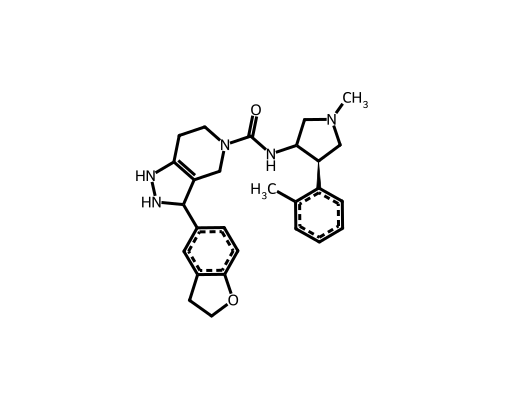 Cc1ccccc1[C@@H]1CN(C)CC1NC(=O)N1CCC2=C(C1)C(c1ccc3c(c1)CCO3)NN2